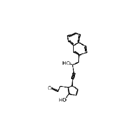 O=CCC1C(O)CCC1C#CC(O)Cc1ccc2ccccc2c1